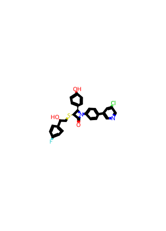 O=C1[C@H](SC[C@H](O)c2ccc(F)cc2)[C@@H](c2ccc(O)cc2)N1c1ccc(-c2cncc(Cl)c2)cc1